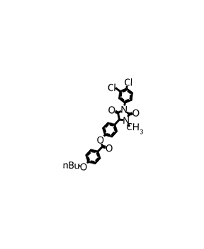 CCCCOc1ccc(C(=O)Oc2ccc(C3C(=O)N(c4ccc(Cl)c(Cl)c4)C(=O)N3C)cc2)cc1